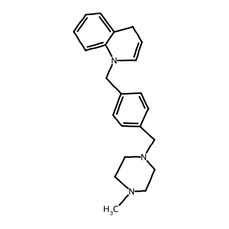 CN1CCN(Cc2ccc(CN3C=CCc4ccccc43)cc2)CC1